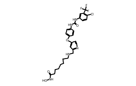 O=C(CCCCCCCNCc1cc(Oc2ccc(NC(=O)Nc3ccc(Cl)c(C(F)(F)F)c3)cc2)ccn1)NO